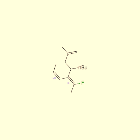 C=C(C)CC(CCCC)C(/C=C\C)=C(/C)F